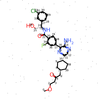 COCCC(=O)C[C@H]1CC[C@H](c2cnc(N)c(-c3ccc(C(=O)N[C@H](CO)c4cccc(Cl)c4)c(F)c3)n2)CC1